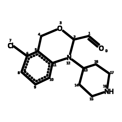 O=CC1OCc2c(Cl)cccc2N1C1CCNCC1